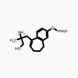 CCCCCCCOc1ccc2c(c1)CCCC=C2CC(C)(N)CO